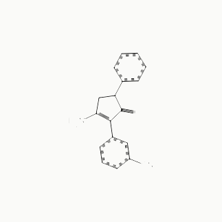 N#Cc1cccc(C2=C(N)CC(c3ccccc3)C2=O)c1